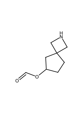 O=COC1CCC2(CNC2)C1